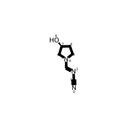 N#C/N=C/N1CC[C@H](O)C1